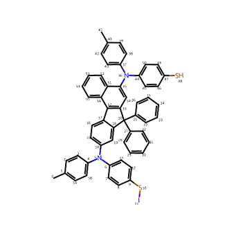 Cc1ccc(N(c2ccc(SI)cc2)c2ccc3c(c2)C(c2ccccc2)(c2ccccc2)c2cc(N(c4ccc(C)cc4)c4ccc(S)cc4)c4ccccc4c2-3)cc1